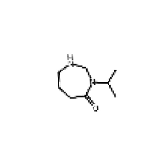 CC(C)N1CNCCCC1=O